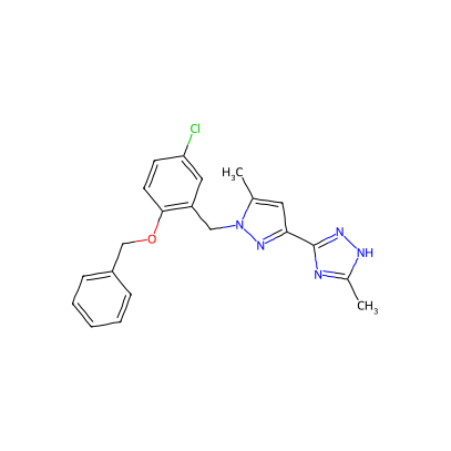 Cc1nc(-c2cc(C)n(Cc3cc(Cl)ccc3OCc3ccccc3)n2)n[nH]1